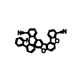 N#Cc1cccc(-c2ccc3oc4ccc5oc6c(C#N)cccc6c5c4c3c2)c1-n1c2ccccc2c2ccccc21